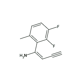 C#C/C=C(/N)c1c(C)ccc(F)c1F